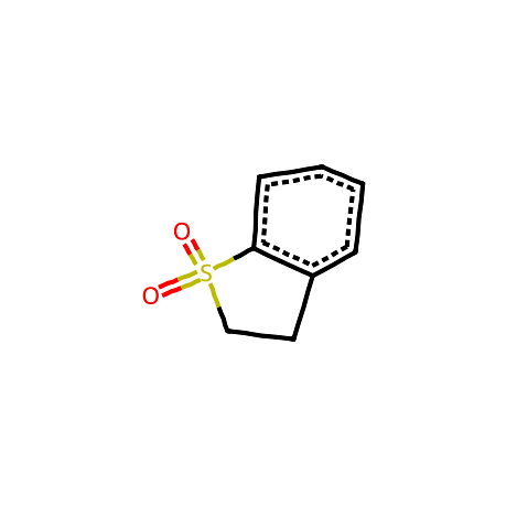 O=S1(=O)CCc2ccccc21